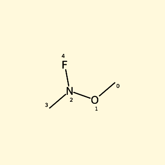 CON(C)F